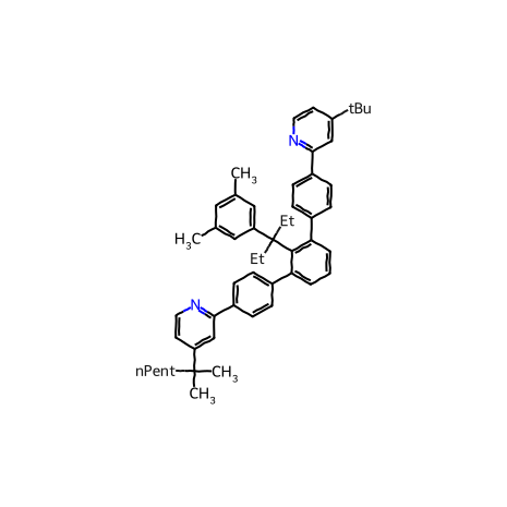 CCCCCC(C)(C)c1ccnc(-c2ccc(-c3cccc(-c4ccc(-c5cc(C(C)(C)C)ccn5)cc4)c3C(CC)(CC)c3cc(C)cc(C)c3)cc2)c1